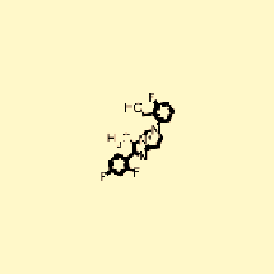 CC1=C(c2ccc(F)cc2F)N=C2C=CN(c3cccc(F)c3CO)C[N+]21